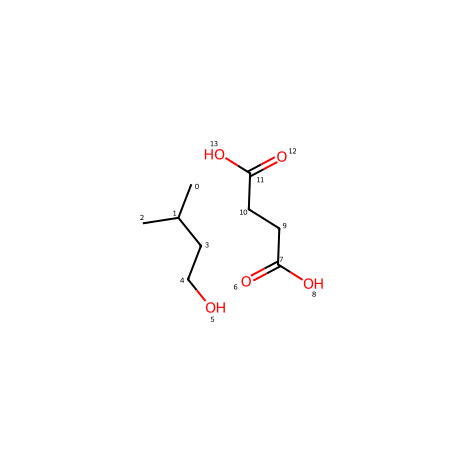 CC(C)CCO.O=C(O)CCC(=O)O